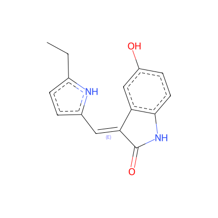 CCc1ccc(/C=C2/C(=O)Nc3ccc(O)cc32)[nH]1